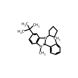 Cc1ccccc1-c1n(C2CCCC2)c2cc(C(C)(C)C)ccc2[n+]1C